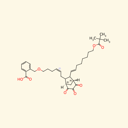 CC(C)(C)C(=O)OCCCCCCC=CC1C(C/C=C\CCCOCc2ccccc2C(=O)O)[C@H]2C[C@H]1C(=O)C(=O)C2=O